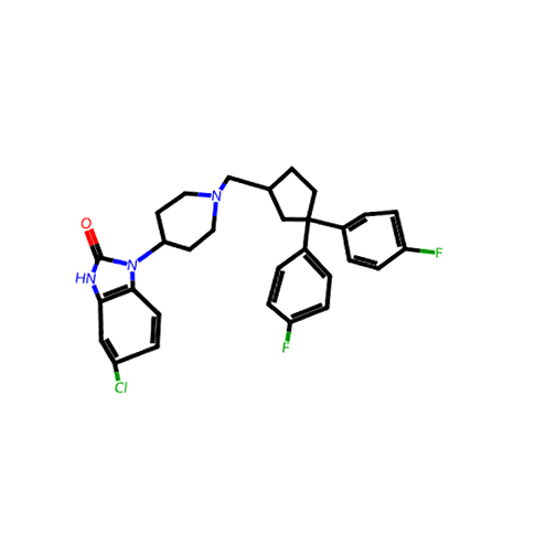 O=c1[nH]c2cc(Cl)ccc2n1C1CCN(CC2CCC(c3ccc(F)cc3)(c3ccc(F)cc3)C2)CC1